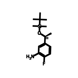 C[C@H](O[Si](C)(C)C(C)(C)C)c1ccc(F)c(N)c1